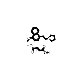 COc1ccc(CCN2CCCC2)c2ccccc12.O=C(O)/C=C/C(=O)O